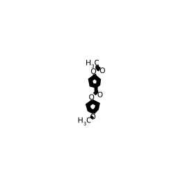 COc1ccc(OC(=O)c2ccc(OC(C)=O)cc2)cc1